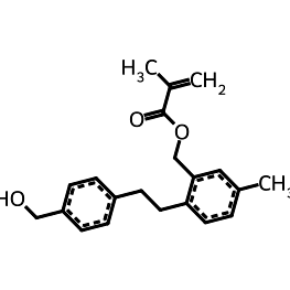 C=C(C)C(=O)OCc1cc(C)ccc1CCc1ccc(CO)cc1